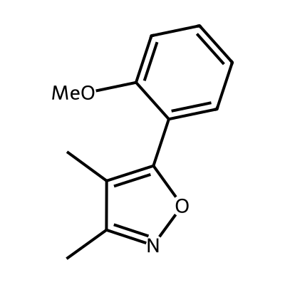 COc1ccccc1-c1onc(C)c1C